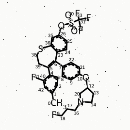 Cc1ccc(C2=C(c3ccc(O[C@H]4CCN(CCCF)C4)cc3)c3ccc(OS(=O)(=O)C(F)(F)F)cc3SCC2)c(F)c1